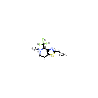 CCc1nc2c(s1)CCN(C)C2C(F)(F)F